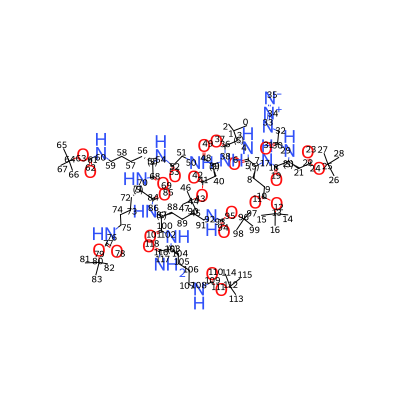 CC(C)[C@H](NC(=O)[C@H](CCC(=O)OC(C)(C)C)NC(=O)[C@H](CC(=O)OC(C)(C)C)NC(=O)CN=[N+]=[N-])C(=O)N[C@@H](CC(=O)OC(C)(C)C)C(=O)NCC(=O)N[C@@H](CCCCNC(=O)OC(C)(C)C)C(=O)N[C@@H](CCCCNC(=O)OC(C)(C)C)C(=O)N[C@@H](CCCCNC(=O)OC(C)(C)C)C(=O)N[C@@H](CCCCNC(=O)OC(C)(C)C)C(N)=O